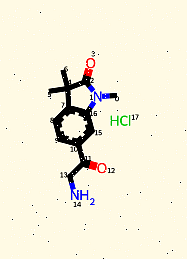 CN1C(=O)C(C)(C)c2ccc(C(=O)CN)cc21.Cl